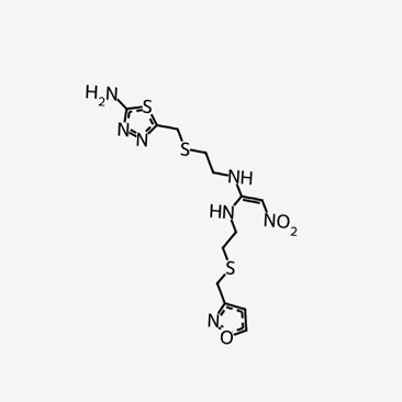 Nc1nnc(CSCCNC(=C[N+](=O)[O-])NCCSCc2ccon2)s1